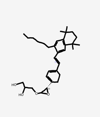 CCCCCCc1cc2c(cc1/C=C/C1=CC=C([C@@H]3OC3OCC(O)CO)CC1)C(C)(C)CCC2(C)C